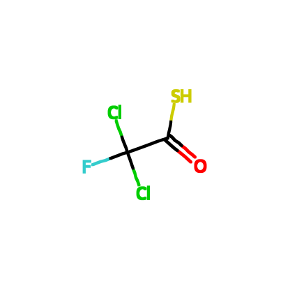 O=C(S)C(F)(Cl)Cl